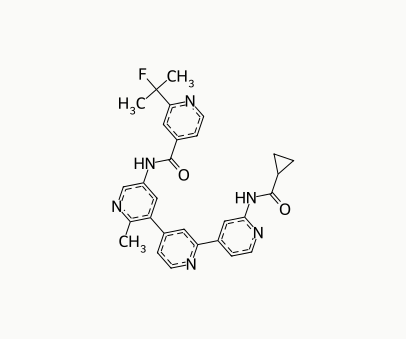 Cc1ncc(NC(=O)c2ccnc(C(C)(C)F)c2)cc1-c1ccnc(-c2ccnc(NC(=O)C3CC3)c2)c1